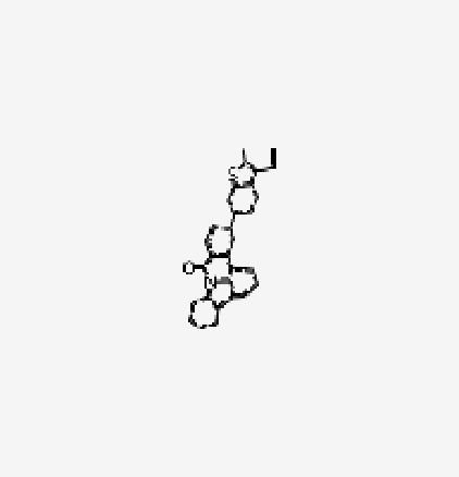 C=Cc1c(C)sc2cc(-c3ccc4c(=O)n5c6ccccc6c6cccc(c4c3)c65)ccc12